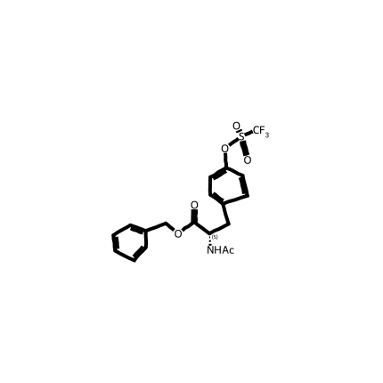 CC(=O)N[C@@H](Cc1ccc(OS(=O)(=O)C(F)(F)F)cc1)C(=O)OCc1ccccc1